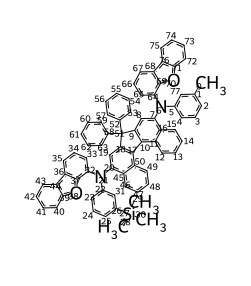 Cc1cccc(N(c2cc3c(c4ccccc24)-c2c(cc(N(c4cccc([Si](C)(C)C)c4)c4cccc5c4oc4ccccc45)c4ccccc24)C3(c2ccccc2)c2ccccc2)c2cccc3c2oc2ccccc23)c1